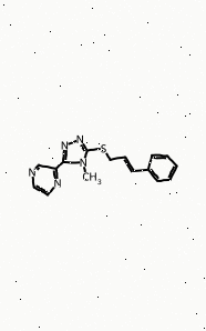 Cn1c(SCC=Cc2ccccc2)nnc1-c1cnccn1